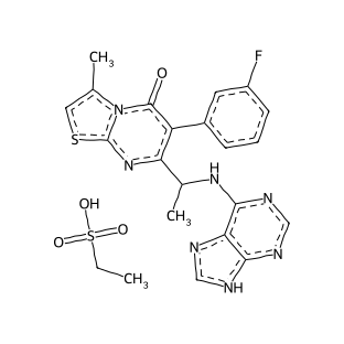 CCS(=O)(=O)O.Cc1csc2nc(C(C)Nc3ncnc4[nH]cnc34)c(-c3cccc(F)c3)c(=O)n12